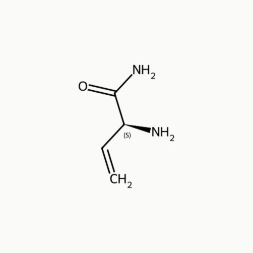 C=C[C@H](N)C(N)=O